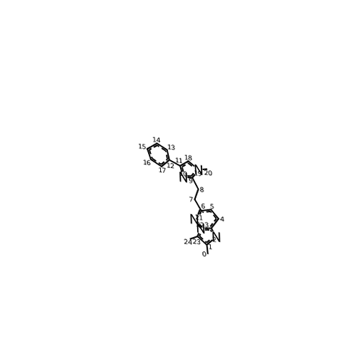 Cc1nc2ccc(CCc3nc(-c4ccccc4)cn3C)nn2c1C